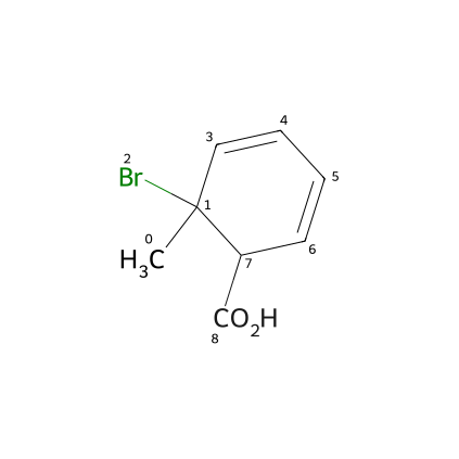 CC1(Br)C=CC=CC1C(=O)O